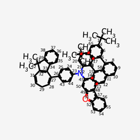 CC(C)(C)c1cc(-c2cccc3cccc(-c4ccccc4N(c4ccc(C5=CCC=CC6=C5c5ccccc5C6(C)C)cc4)c4ccc5c(c4)oc4ccccc45)c23)cc(C(C)(C)C)c1